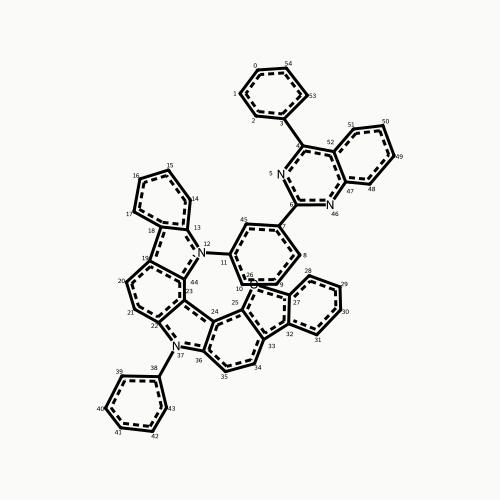 c1ccc(-c2nc(-c3cccc(-n4c5ccccc5c5ccc6c(c7c8oc9ccccc9c8ccc7n6-c6ccccc6)c54)c3)nc3ccccc23)cc1